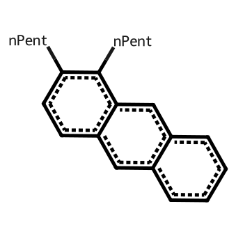 CCCCCc1ccc2cc3ccccc3cc2c1CCCCC